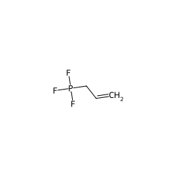 C=CC[P](F)(F)F